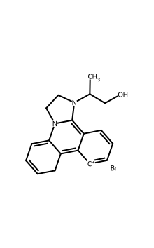 CC(CO)N1CCN2C3=CC=CCC3=C3[C+]=CC=CC3=C21.[Br-]